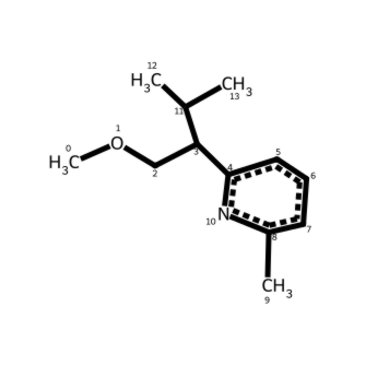 COCC(c1cccc(C)n1)C(C)C